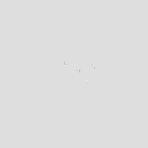 Nc1ncc2n1CNc1ccccc1-2